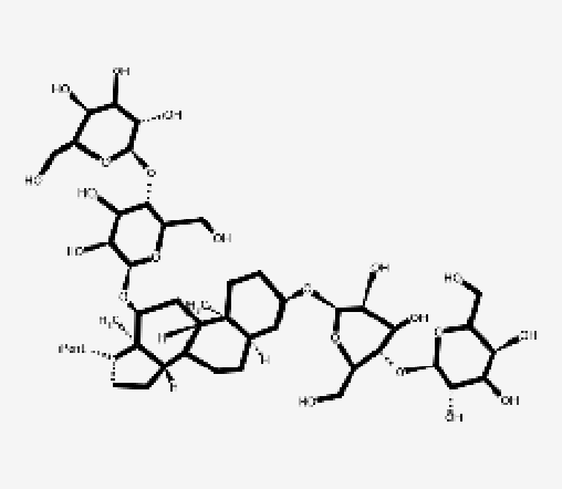 CCC[C@@H](C)[C@H]1CC[C@H]2C3CC[C@@H]4C[C@H](O[C@@H]5OC(CO)[C@@H](O[C@H]6OC(CO)[C@@H](O)C(O)[C@@H]6O)C(O)[C@@H]5O)CC[C@]4(C)[C@H]3C[C@H](O[C@@H]3OC(CO)[C@@H](O[C@H]4OC(CO)[C@@H](O)C(O)[C@@H]4O)C(O)[C@@H]3O)[C@]12C